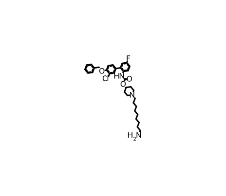 NCCCCCCCCCN1CCC(OC(=O)Nc2ccc(F)cc2-c2ccc(OCc3ccccc3)c(Cl)c2)CC1